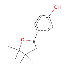 CC1(C)CB(c2ccc(O)cc2)OC1(C)C